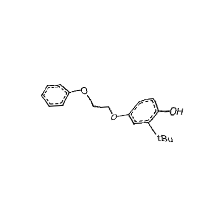 CC(C)(C)c1cc(OCCOc2ccccc2)ccc1O